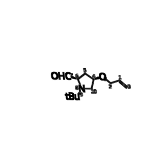 C=CCO[C@@H]1C[C@H](C=O)N(C(C)(C)C)C1